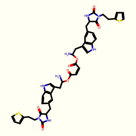 NC(Cc1c[nH]c2ccc(CC3NC(=O)N(CCc4cccs4)C3=O)cc12)OC(=O)/C=C\C(=O)OC(N)Cc1c[nH]c2ccc(CC3NC(=O)N(CCc4cccs4)C3=O)cc12